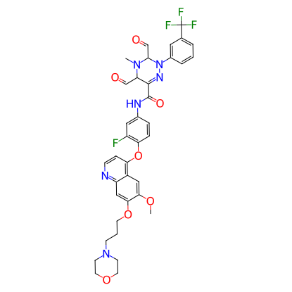 COc1cc2c(Oc3ccc(NC(=O)C4=NN(c5cccc(C(F)(F)F)c5)C(C=O)N(C)C4C=O)cc3F)ccnc2cc1OCCCN1CCOCC1